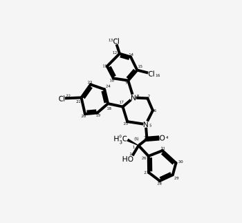 C[C@@](O)(C(=O)N1CCN(c2ccc(Cl)cc2Cl)C(c2ccc(Cl)cc2)C1)c1ccccc1